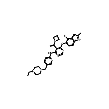 CCN1CCN(Cc2ccc(Nc3ncnc(Oc4ccc5[nH]c(C)cc5c4F)c3C(=O)N3CCC3)nc2)CC1